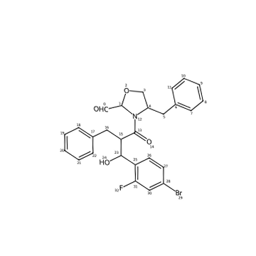 O=CC1OCC(Cc2ccccc2)N1C(=O)C(Cc1ccccc1)C(O)c1ccc(Br)cc1F